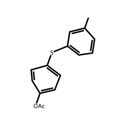 CC(=O)Oc1ccc(Sc2cccc(C)c2)cc1